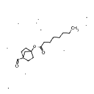 CCCCCCCC(=O)OC12CCC(C=O)(CC1)C2